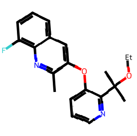 CCOC(C)(C)c1ncccc1Oc1cc2cccc(F)c2nc1C